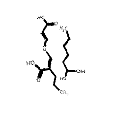 CCCC(=COC=CC(=O)O)C(=O)O.CCCCCC(O)O